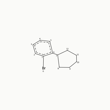 Brc1c[c]ccc1C1CCCCC1